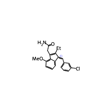 CCC1=C(CC(N)=O)c2c(OC)cccc2/C1=C\c1cccc(Cl)c1